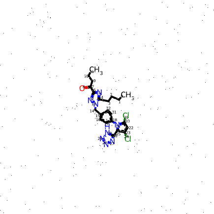 CCCCc1nc(C(=O)CCC)nn1Cc1ccc(-n2c(Cl)cc(Cl)c2-c2nnn[nH]2)cc1